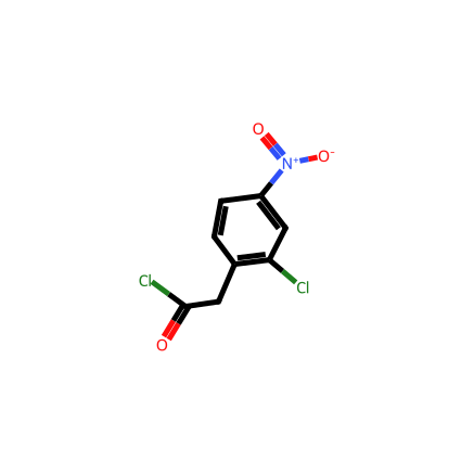 O=C(Cl)Cc1ccc([N+](=O)[O-])cc1Cl